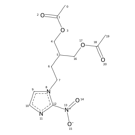 CC(=O)OCC(CCn1ccnc1[N+](=O)[O-])COC(C)=O